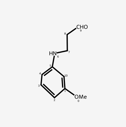 COc1cccc(NCCC=O)c1